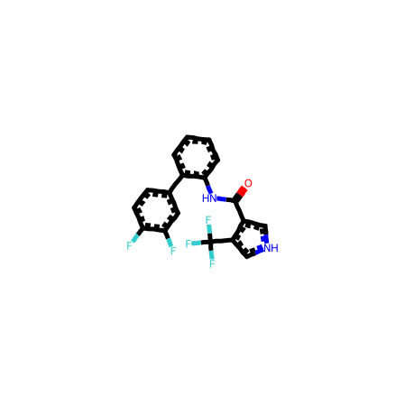 O=C(Nc1ccccc1-c1ccc(F)c(F)c1)c1c[nH]cc1C(F)(F)F